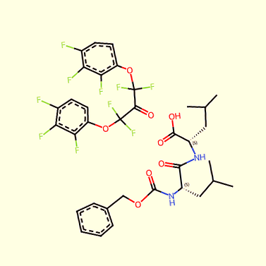 CC(C)C[C@H](NC(=O)[C@H](CC(C)C)NC(=O)OCc1ccccc1)C(=O)O.O=C(C(F)(F)Oc1ccc(F)c(F)c1F)C(F)(F)Oc1ccc(F)c(F)c1F